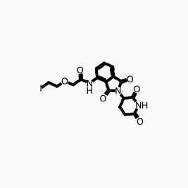 O=C1CCC(N2C(=O)c3cccc(NC(=O)COCCI)c3C2=O)C(=O)N1